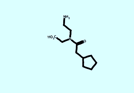 NCCN(CC(=O)O)C(=O)CC1CCCC1